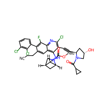 CCCCOC(=O)N1C[C@H]2C[C@@H]1[C@H]2Nc1c(C#C[C@H]2C[C@H](O)CN2C(=O)C2CC2)c(Cl)nc2c(F)c(-c3cccc(Cl)c3Cl)c(CCC#N)cc12